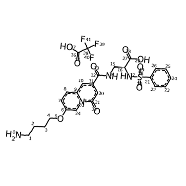 NCCCCOc1ccc2cc(C(=O)NC[C@H](NS(=O)(=O)c3ccccc3)C(=O)O)cc(=O)n2c1.O=C(O)C(F)(F)F